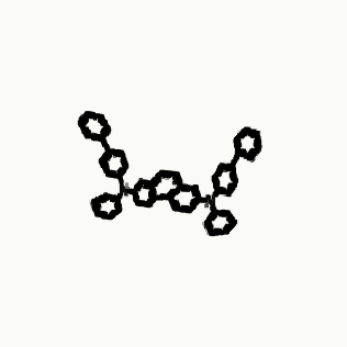 c1ccc(-c2ccc(N(c3ccccc3)c3ccc4c(ccc5cc(N(c6ccccc6)c6ccc(-c7ccccc7)cc6)ccc54)c3)cc2)cc1